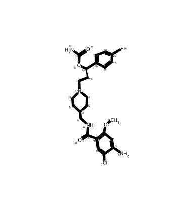 COc1cc(N)c(Cl)cc1C(=O)NCC1CCN(CC[C@@H](OC(N)=O)c2ccc(F)cc2)CC1